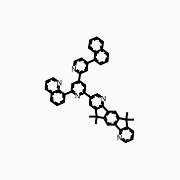 CC1(C)c2cc3c(cc2-c2ncccc21)C(C)(C)c1cc(-c2cc(-c4cc(-c5cccc6ccccc56)ccn4)cc(-c4cccc5cccnc45)n2)cnc1-3